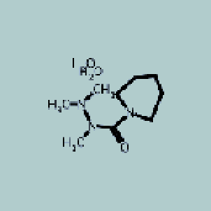 CN(C)N(C)C(=O)N1CCCCC1.O.O